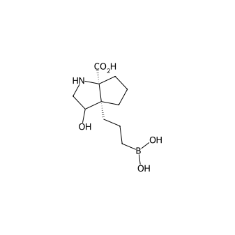 O=C(O)[C@]12CCC[C@@]1(CCCB(O)O)C(O)CN2